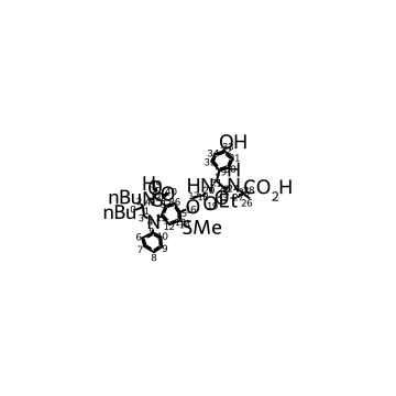 CCCCC1(CCCC)CN(c2ccccc2)c2cc(SC)c(OCC(=O)N[C@@H](C(=O)NC(C)(CC)C(=O)O)c3ccc(O)cc3)cc2S(=O)(=O)N1